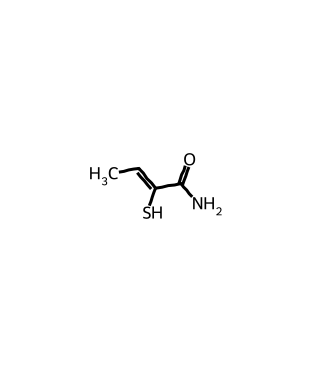 CC=C(S)C(N)=O